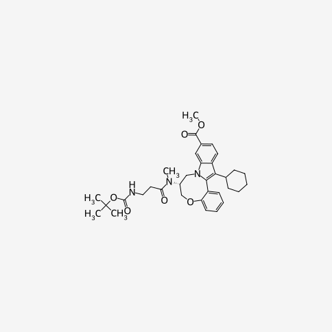 COC(=O)c1ccc2c(C3CCCCC3)c3n(c2c1)C[C@@H](N(C)C(=O)CCNC(=O)OC(C)(C)C)COc1ccccc1-3